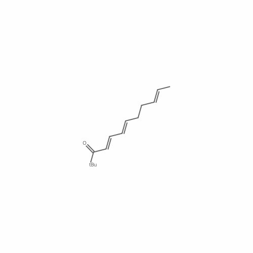 CC=CCCC=CC=CC(=O)C(C)(C)C